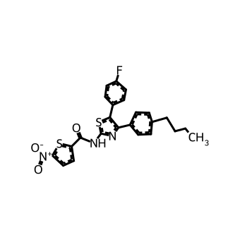 CCCCc1ccc(-c2nc(NC(=O)c3ccc([N+](=O)[O-])s3)sc2-c2ccc(F)cc2)cc1